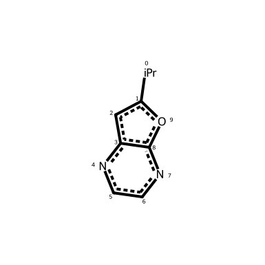 CC(C)c1cc2nccnc2o1